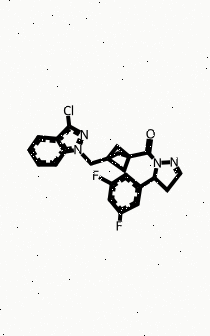 O=C(N1N=CCC1c1cc(F)cc(F)c1)C12CC(Cn3nc(Cl)c4ccccc43)(C1)C2